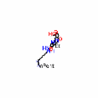 CCCCC/C=C\C/C=C\CCCCCCCCNC(=N)Oc1ccc2nc3c(c(CC)c2c1)Cn1c-3cc2c(c1=O)CCC(=O)[C@]2(O)CC